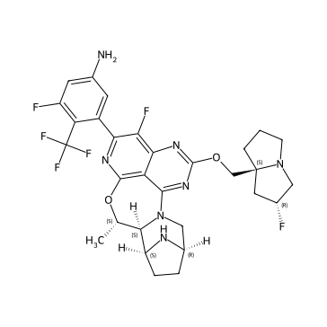 C[C@@H]1Oc2nc(-c3cc(N)cc(F)c3C(F)(F)F)c(F)c3nc(OC[C@@]45CCCN4C[C@H](F)C5)nc(c23)N2C[C@H]3CC[C@H](N3)[C@@H]12